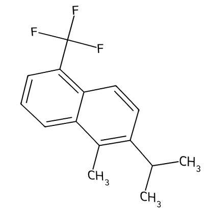 Cc1c(C(C)C)ccc2c(C(F)(F)F)cccc12